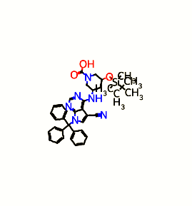 CC(C)(C)[Si](C)(C)O[C@H]1C[C@@H](Nc2ncnc3c2c(C#N)cn3C(c2ccccc2)(c2ccccc2)c2ccccc2)CN(C(=O)O)C1